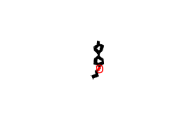 C=CCOc1ccc(-c2ccc(C)cc2)cc1